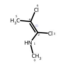 CN/C(Cl)=C(\C)Cl